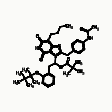 CCCCn1c(=O)[nH]c(=O)c2c1nc(Cc1ccc(NC(C)=O)cc1)n2C(Cc1ccccc1O[Si](C)(C)C(C)(C)C)OC(=O)C(C)(C)C